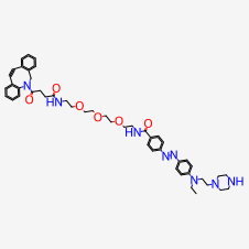 CCN(CCN1CCNCC1)c1ccc(/N=N/c2ccc(C(=O)NCCOCCOCCOCCNC(=O)CCC(=O)N3Cc4ccccc4C#Cc4ccccc43)cc2)cc1